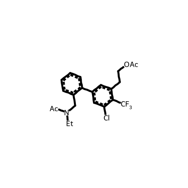 CCN(Cc1ccccc1-c1cc(Cl)c(C(F)(F)F)c(CCOC(C)=O)c1)C(C)=O